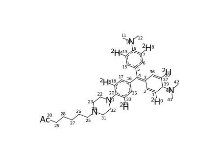 [2H]C1=CC(=C(c2cc([2H])c(N(C)C)c([2H])c2)c2cc([2H])c(N3CCN(CCCCCC(C)=O)CC3)c([2H])c2)C=C([2H])C1N(C)C